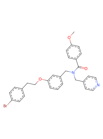 COc1ccc(C(=O)N(Cc2ccncc2)Cc2cccc(OCCc3ccc(Br)cc3)c2)cc1